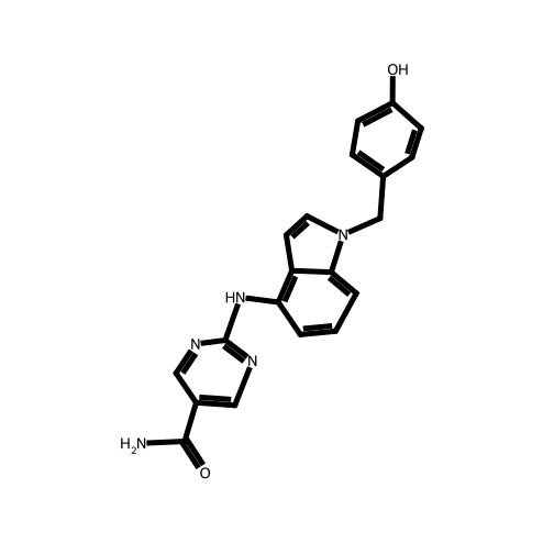 NC(=O)c1cnc(Nc2cccc3c2ccn3Cc2ccc(O)cc2)nc1